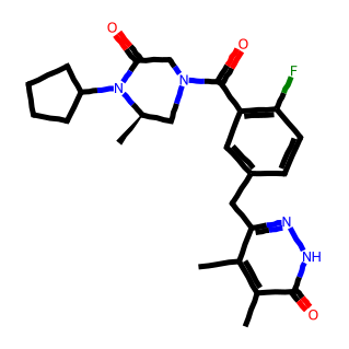 Cc1c(Cc2ccc(F)c(C(=O)N3CC(=O)N(C4CCCC4)[C@H](C)C3)c2)n[nH]c(=O)c1C